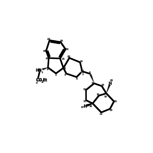 CCOC(=O)N[C@H]1CC2(CCN(C[C@H]3CC[C@H]4CCC[C@@H](C4)C3)CC2)c2ccccc21